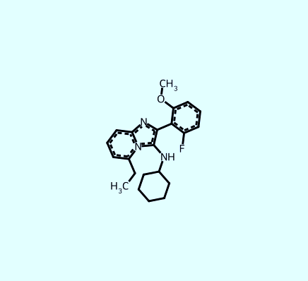 CCc1cccc2nc(-c3c(F)cccc3OC)c(NC3CCCCC3)n12